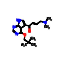 CN(C)CC=CC(=O)c1c[nH]c2ncnc(OCC(C)(C)C)c12